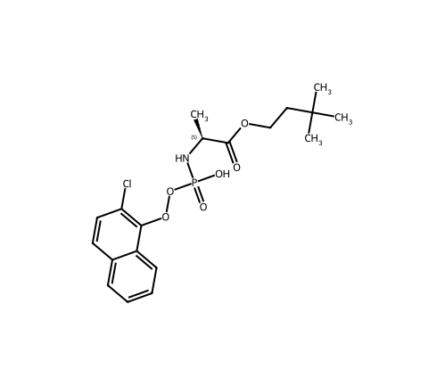 C[C@H](NP(=O)(O)OOc1c(Cl)ccc2ccccc12)C(=O)OCCC(C)(C)C